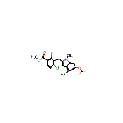 COC(=O)c1ccc(Cl)c(Cc2cc3c(C)cc(OC(F)F)cc3n2C)c1Cl